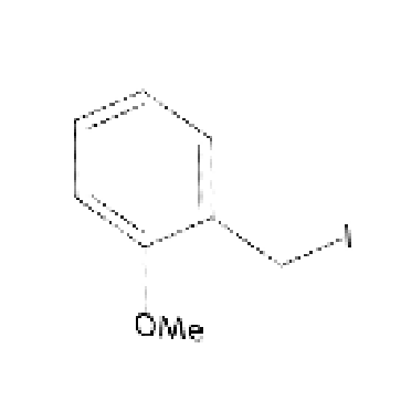 COc1ccccc1CI